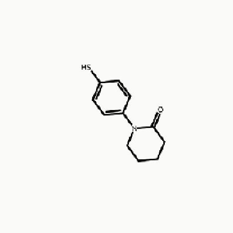 O=C1CCCCN1c1ccc(S)cc1